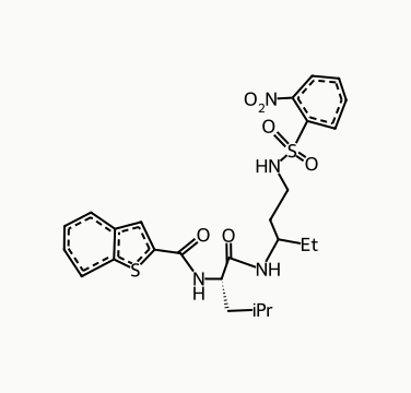 CCC(CCNS(=O)(=O)c1ccccc1[N+](=O)[O-])NC(=O)[C@H](CC(C)C)NC(=O)c1cc2ccccc2s1